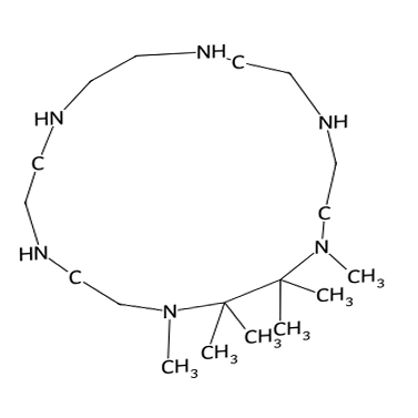 CN1CCNCCNCCNCCNCCN(C)C(C)(C)C1(C)C